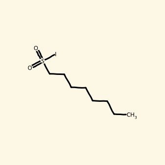 CCCCCCCCS(=O)(=O)I